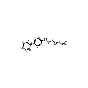 O=CCOCCOc1ccc(-c2cccnc2)cc1